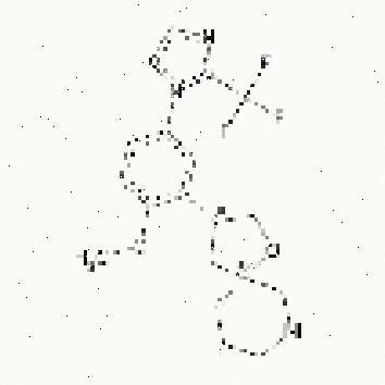 COc1ccc(-n2ccnc2C(F)(F)F)cc1[C@@H]1CO[C@]2(CCCNC2)C1